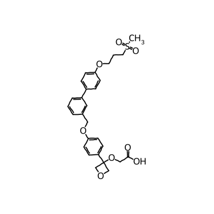 CS(=O)(=O)CCCOc1ccc(-c2cccc(COc3ccc(C4(OCC(=O)O)COC4)cc3)c2)cc1